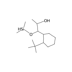 CC(O)C(O[SiH](C)C)C1CCCCC1C(C)(C)C